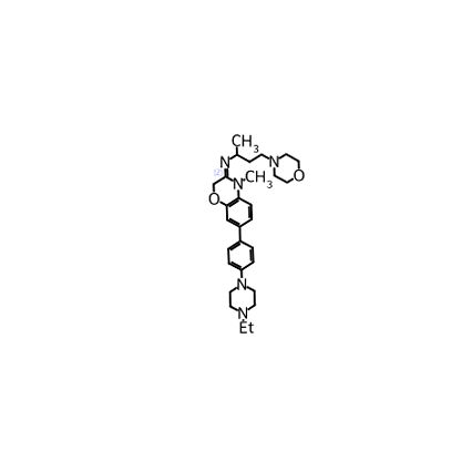 CCN1CCN(c2ccc(-c3ccc4c(c3)OC/C(=N/C(C)CCN3CCOCC3)N4C)cc2)CC1